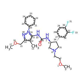 COCCN1C[C@@H](NC(=O)Nc2c(C)c(COC)nn2-c2ccccc2)[C@H](c2ccc(F)c(F)c2)C1